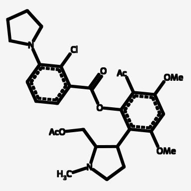 COc1cc(OC)c(C2CCN(C)C2COC(C)=O)c(OC(=O)c2cccc(N3CCCC3)c2Cl)c1C(C)=O